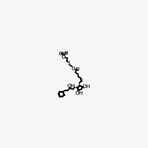 O=C(CCC/C=C\C[C@@H]1[C@@H](CC[C@@H](O)CCc2ccccc2)[C@H](O)C[C@@H]1O)OCCSCCO[N+](=O)[O-]